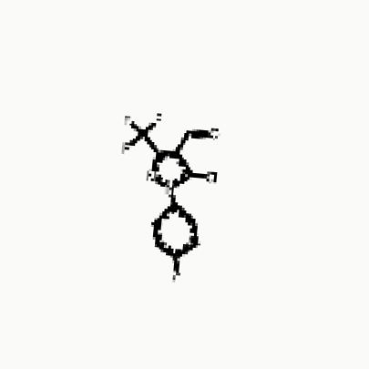 O=Cc1c(C(F)(F)F)nn(-c2ccc(Cl)cc2)c1Cl